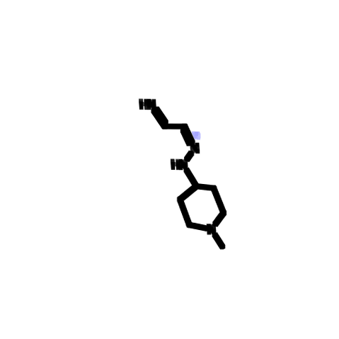 CN1CCC(N/N=C\C=N)CC1